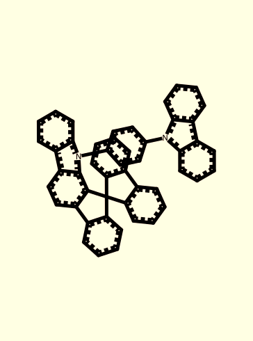 c1ccc2c(c1)-c1ccccc1C21c2ccccc2-c2ccc3c4ccccc4n(-c4ccc(-n5c6ccccc6c6ccccc65)cc4)c3c21